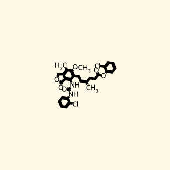 COc1c(C)c2c(c(NC(=O)Nc3ccccc3Cl)c1CC=C(C)CCC(=O)Oc1ccccc1Cl)C(=O)OC2